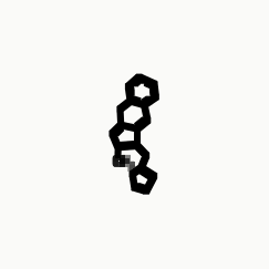 CC1=C(CC2=CC=CC2)C2=Cc3ccccc3CC2=C1